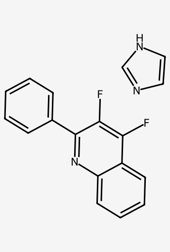 Fc1c(-c2ccccc2)nc2ccccc2c1F.c1c[nH]cn1